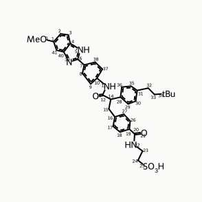 COc1ccc2[nH]c(-c3ccc(NC(=O)C(Cc4ccc(C(=O)NCCS(=O)(=O)O)cc4)c4ccc(CCC(C)(C)C)cc4)cc3)nc2c1